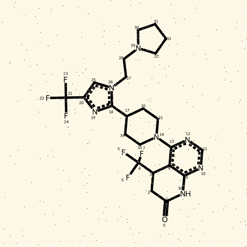 O=C1CC(C(F)(F)F)c2c(ncnc2N2CCC(c3nc(C(F)(F)F)cn3CCN3CCCC3)CC2)N1